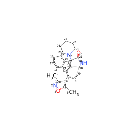 Cc1noc(C)c1-c1ccc2c(c1)C(c1ccccc1)(N1CCCCC1)C(=O)N2